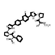 CCN(CC)[C@@H](C(=O)N1CCC[C@H]1c1ncc(-c2ccc(-c3ccc(-c4cnc([C@@H]5CCCN5C(=O)[C@@H](NC(=O)O)C(C)C)[nH]4)c(F)c3)cc2)[nH]1)c1ccccc1